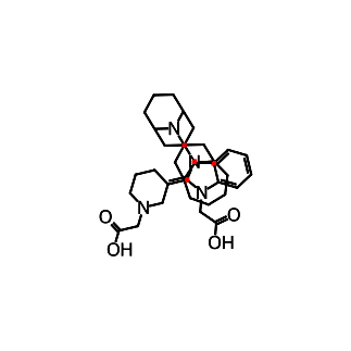 O=C(O)CN1CCC/C(=C2/N(CC(=O)O)c3ccccc3N2C2CC3CCCC(C2)N3C2CC3CCCCC(C3)C2)C1